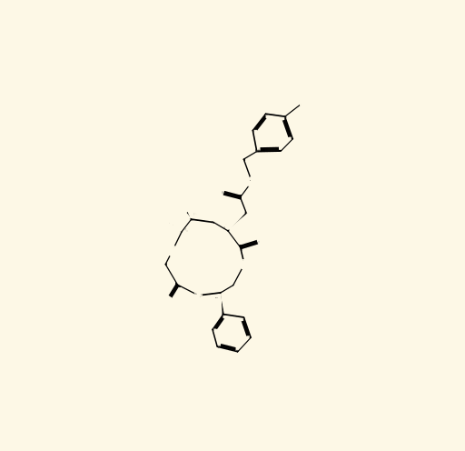 O=C(C[C@@H]1C[C@H](O)[C@@H](O)CCC(=O)N[C@H](c2ccccc2)COC1=O)NCc1ccc(Cl)cc1